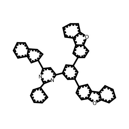 c1ccc(-c2nc(-c3cc(-c4ccc5oc6ccccc6c5c4)cc(-c4ccc5oc6ccccc6c5c4)c3)cc(-c3ccc4ccccc4c3)n2)cc1